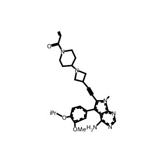 C=CC(=O)N1CCC(N2CC(C#Cc3c(-c4ccc(OC(C)C)c(OC)c4)c4c(N)ncnc4n3C)C2)CC1